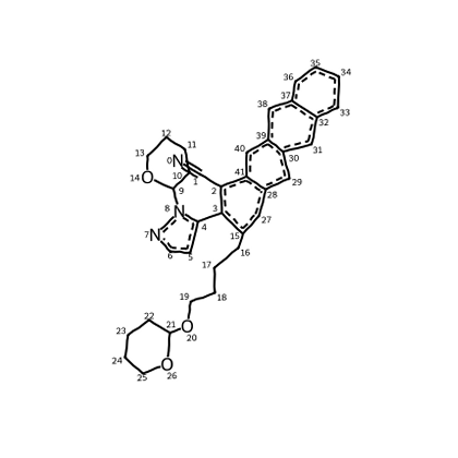 N#Cc1c(-c2ccnn2C2CCCCO2)c(CCCCOC2CCCCO2)cc2cc3cc4ccccc4cc3cc12